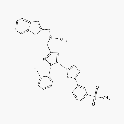 CN(Cc1cc(-c2ccc(-c3cccc(S(C)(=O)=O)c3)s2)n(-c2ccccc2Cl)n1)Cc1cc2ccccc2s1